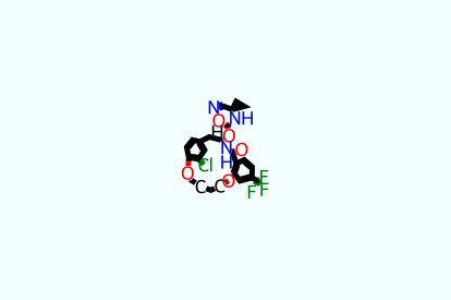 N#CC1(NC(=O)O[C@H]2Cc3ccc(c(Cl)c3)OCCCCOc3cc(C(F)(F)F)ccc3C(=O)N2)CC1